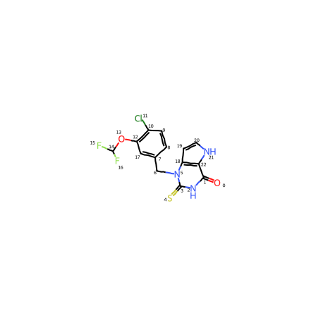 O=c1[nH]c(=S)n(Cc2ccc(Cl)c(OC(F)F)c2)c2cc[nH]c12